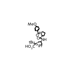 COc1ccc(C(=O)N2CCC[C@H]2C(=O)NC(CS[C@H](C(=O)O)C(C)(C)C)CC(C)C)cc1